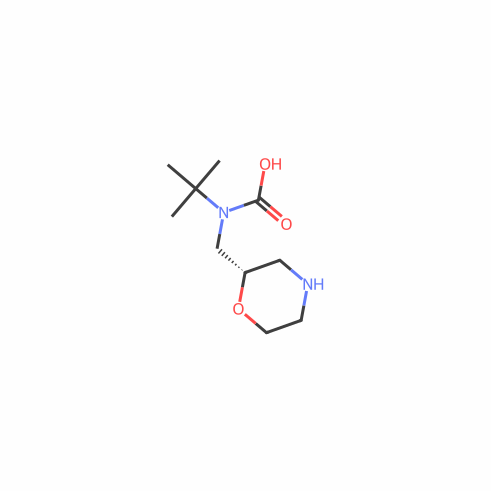 CC(C)(C)N(C[C@@H]1CNCCO1)C(=O)O